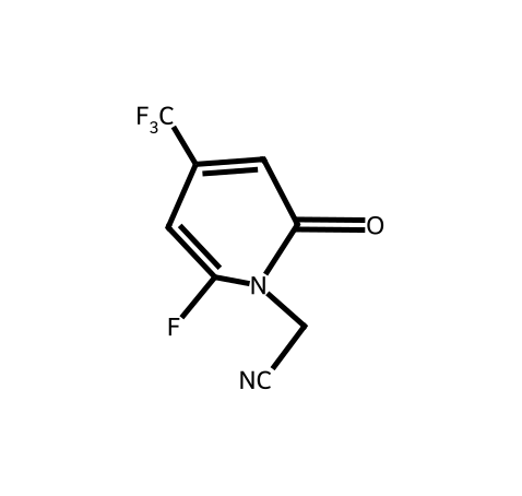 N#CCn1c(F)cc(C(F)(F)F)cc1=O